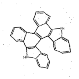 c1ccc2c(c1)[nH]c1c3ccccc3c3c4ccccc4c4[nH]c5ccccc5c4c3c21